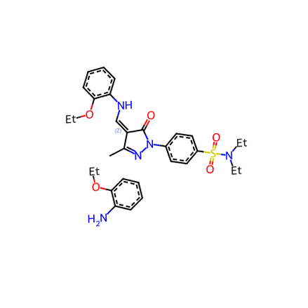 CCOc1ccccc1N.CCOc1ccccc1N/C=C1\C(=O)N(c2ccc(S(=O)(=O)N(CC)CC)cc2)N=C1C